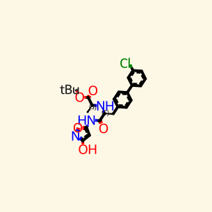 C[C@H](N[C@@H](Cc1ccc(-c2cccc(Cl)c2)cc1)C(=O)Nc1cc(O)no1)C(=O)OC(C)(C)C